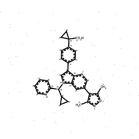 Cc1noc(C)c1-c1cnc2c(-c3ccc(C4(C(=O)O)CC4)cc3)cn([C@H](c3ccccn3)C3CC3)c2c1